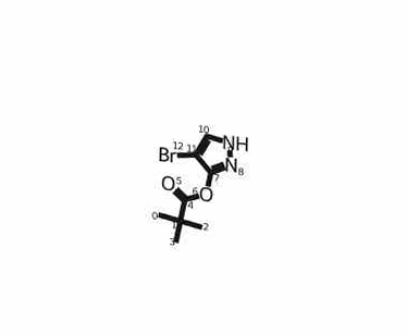 CC(C)(C)C(=O)Oc1n[nH]cc1Br